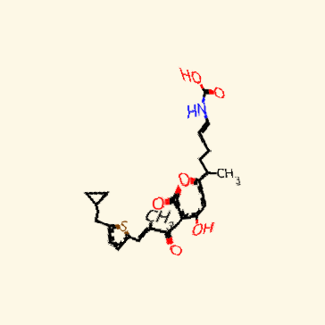 C/C(=C\c1ccc(CC2CC2)s1)C(=O)c1c(O)cc(C(C)CC/C=C/NC(=O)O)oc1=O